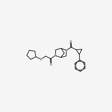 O=C(CSC1CCCC1)N1CC2CC1CN2C(=O)C1CC1c1ccccc1